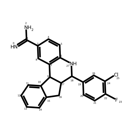 N=C(N)c1ccc2c(c1)C1c3ccccc3CC1C(c1ccc(F)c(Cl)c1)N2